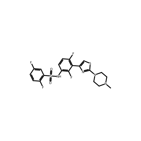 CN1CCN(c2nc(-c3c(F)ccc(NS(=O)(=O)c4cc(F)ccc4F)c3F)cs2)CC1